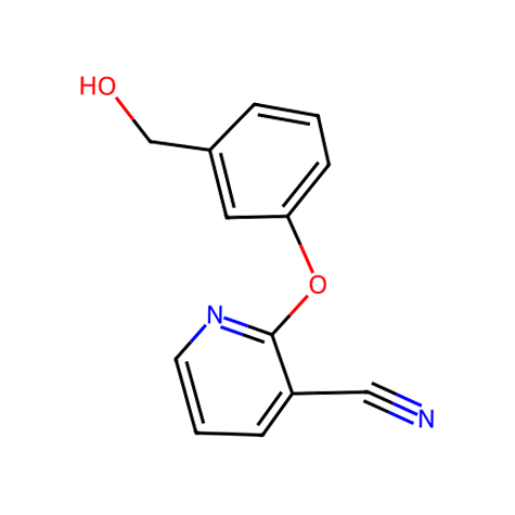 N#Cc1cccnc1Oc1cccc(CO)c1